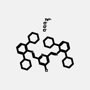 Clc1cc(C=Nc2c(C3CCCCC3)cccc2C2CCCCC2)nc(C=Nc2c(C3CCCCC3)cccc2C2CCCCC2)c1.[Cl-].[Cl-].[Cl-].[Fe+3]